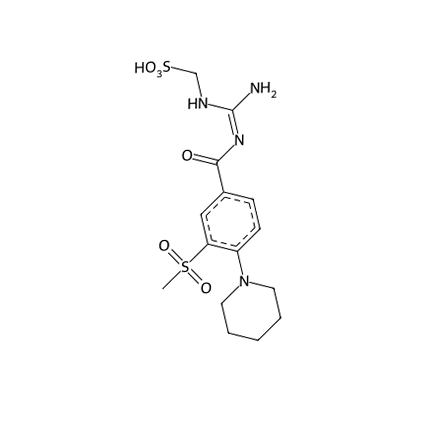 CS(=O)(=O)c1cc(C(=O)N=C(N)NCS(=O)(=O)O)ccc1N1CCCCC1